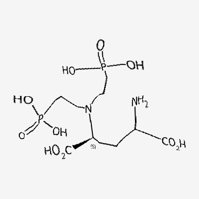 NC(C[C@@H](C(=O)O)N(CP(=O)(O)O)CP(=O)(O)O)C(=O)O